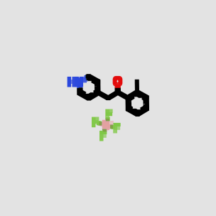 Cc1ccccc1C(=O)Cc1cc[nH+]cc1.F[B-](F)(F)F